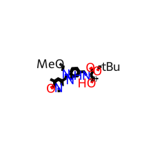 COCCn1c(-c2cc(C)c(=O)n(C)c2)nc2cc(CNC(C(=O)OCC(C)(C)C)[C@@H](C)O)ccc21